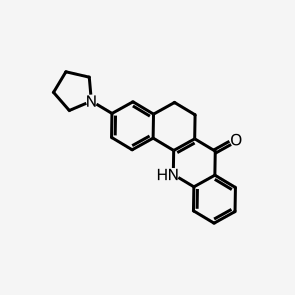 O=c1c2c([nH]c3ccccc13)-c1ccc(N3CCCC3)cc1CC2